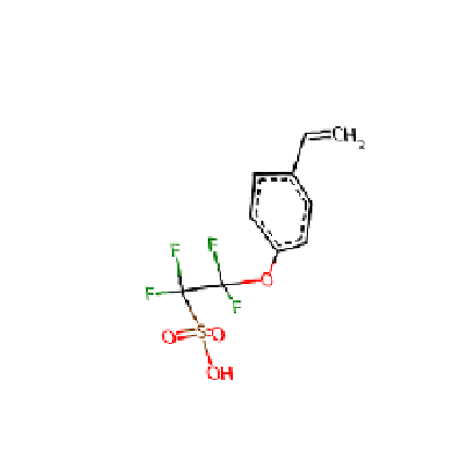 C=Cc1ccc(OC(F)(F)C(F)(F)S(=O)(=O)O)cc1